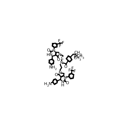 C[N+](C)(C)Cc1ccc(C(=O)N(CCCN2CC3=C(C2=O)C(c2ccc(N)cc2)NC(=O)N3c2cccc(C(F)(F)F)c2)CCCN2CC3=C(C2=O)C(c2ccc(N)cc2)NC(=O)N3c2cccc(C(F)(F)F)c2)cc1